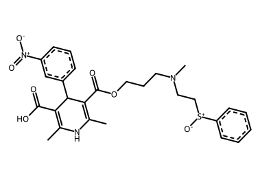 CC1=C(C(=O)O)C(c2cccc([N+](=O)[O-])c2)C(C(=O)OCCCN(C)CC[S+]([O-])c2ccccc2)=C(C)N1